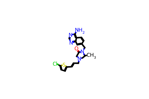 CC1CN(CC=Cc2ccc(Cl)s2)CC(=O)N1Cc1ccc2c(N)ncnc2c1